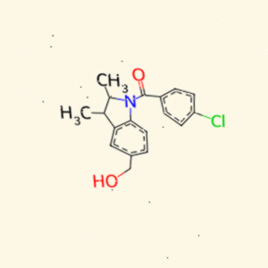 CC1c2cc(CO)ccc2N(C(=O)c2ccc(Cl)cc2)C1C